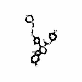 O=C(Oc1ccc(Cl)cc1)N1CCc2c([nH]c3ccc(Cl)cc23)C1c1ccc(OCCCN2CCSCC2)cc1